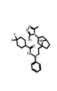 Cc1nnc(C(C)C)n1C1CC2CCC(CC[C@H](NC(=O)C3CCC(F)(F)CC3)c3ccccc3)(C1)N2